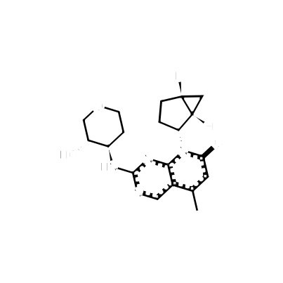 Cc1cc(=O)n([C@@H]2CC[C@@H]3C[C@@H]32)c2nc(N[C@@H]3CCOC[C@H]3O)ncc12